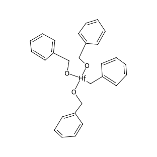 c1ccc(C[O][Hf]([CH2]c2ccccc2)([O]Cc2ccccc2)[O]Cc2ccccc2)cc1